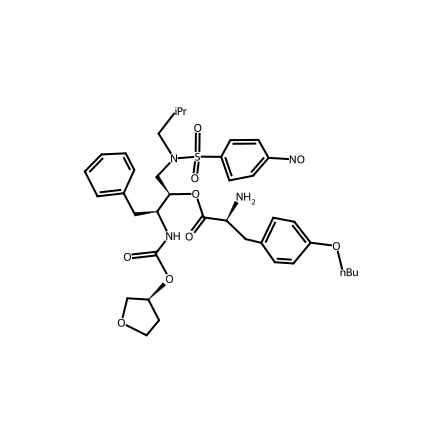 CCCCOc1ccc(C[C@H](N)C(=O)O[C@H](CN(CC(C)C)S(=O)(=O)c2ccc(N=O)cc2)[C@H](Cc2ccccc2)NC(=O)O[C@H]2CCOC2)cc1